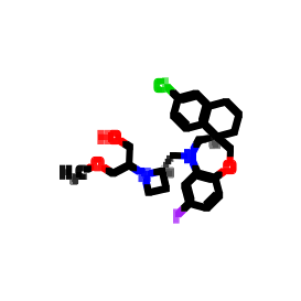 COCC(CO)N1CC[C@H]1CN1C[C@@]2(CCCc3cc(Cl)ccc32)COc2ccc(I)cc21